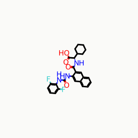 O=C(Nc1cc2ccccc2cc1C(=O)N[C@H](C(=O)O)C1CCCCC1)Nc1c(F)cccc1F